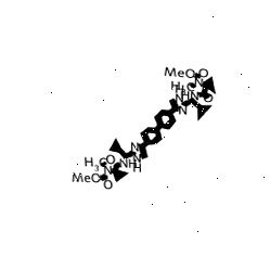 COC(=O)N(C)C1(C(=O)N[C@H](c2nc(-c3ccc(-c4ccc(-c5c[nH]c([C@@H](NC(=O)C6(N(C)C(=O)OC)CC6)C6CC6)n5)cc4)cc3)c[nH]2)C2CC2)CC1